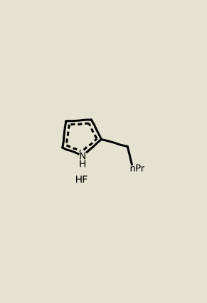 CCCCc1ccc[nH]1.F